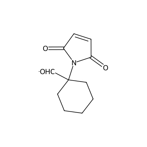 O=[C]C1(N2C(=O)C=CC2=O)CCCCC1